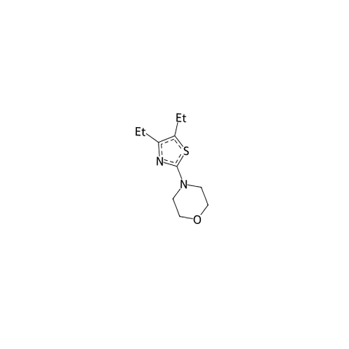 CCc1nc(N2CCOCC2)sc1CC